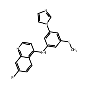 COc1cc(Nc2ccnc3cc(Br)ccc23)cc(-n2ccnc2)c1